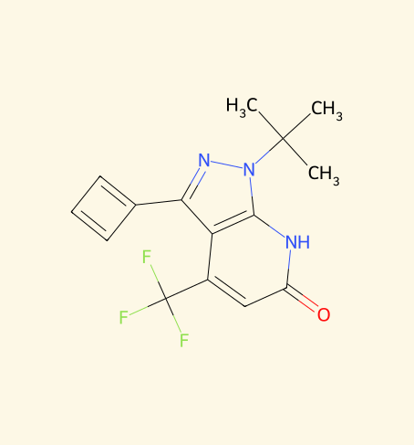 CC(C)(C)n1nc(C2=CC=C2)c2c(C(F)(F)F)cc(=O)[nH]c21